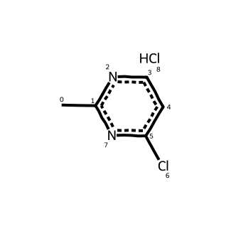 Cc1nccc(Cl)n1.Cl